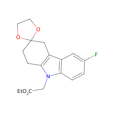 CCOC(=O)Cn1c2c(c3cc(F)ccc31)CC1(CC2)OCCO1